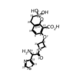 NC(C(=O)N1CC(Oc2ccc3c(c2C(=O)O)O[B-](O)(O)CC3)C1)c1cscn1